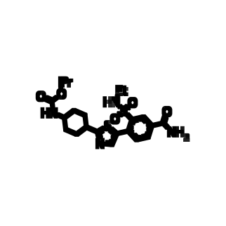 CCNS(=O)(=O)c1cc(C(N)=O)ccc1-c1cnc(C2CCC(NC(=O)OC(C)C)CC2)s1